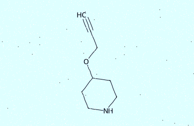 C#CCOC1CCNCC1